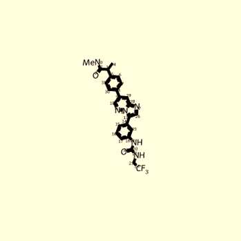 CNC(=O)C(C)c1ccc(-c2cnn3c(-c4cccc(NC(=O)NCC(F)(F)F)c4)cnc3c2)cc1